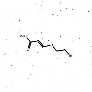 COC(=O)/C=C/OCCBr